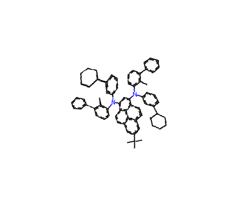 Cc1c(-c2ccccc2)cccc1N(c1cccc(C2CCCCC2)c1)c1cc(N(c2cccc(C3CCCCC3)c2)c2cccc(-c3ccccc3)c2C)c2ccc3cc(C(C)(C)C)cc4ccc1c2c43